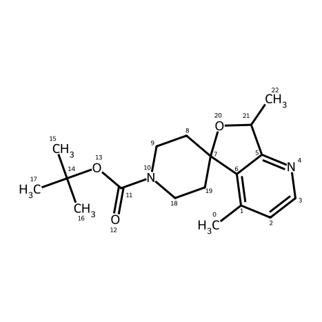 Cc1ccnc2c1C1(CCN(C(=O)OC(C)(C)C)CC1)OC2C